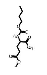 CCCCOC(=O)NC(CCC(=O)OC)C(=O)O